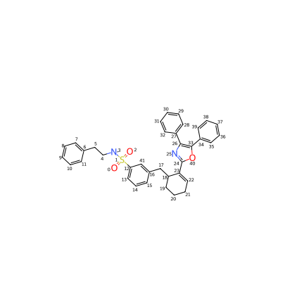 O=S(=O)([N]CCc1ccccc1)c1cccc(CC2CCCC=C2c2nc(-c3ccccc3)c(-c3ccccc3)o2)c1